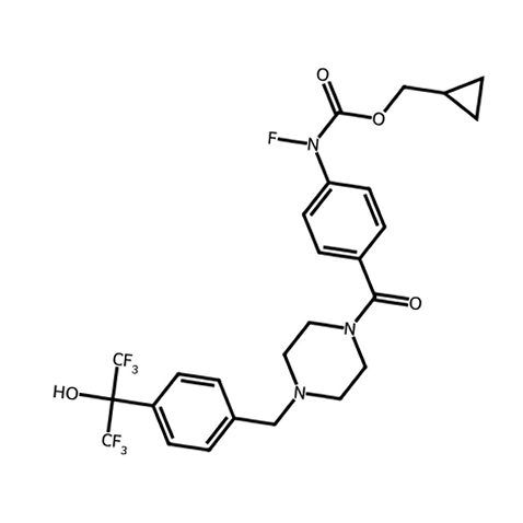 O=C(c1ccc(N(F)C(=O)OCC2CC2)cc1)N1CCN(Cc2ccc(C(O)(C(F)(F)F)C(F)(F)F)cc2)CC1